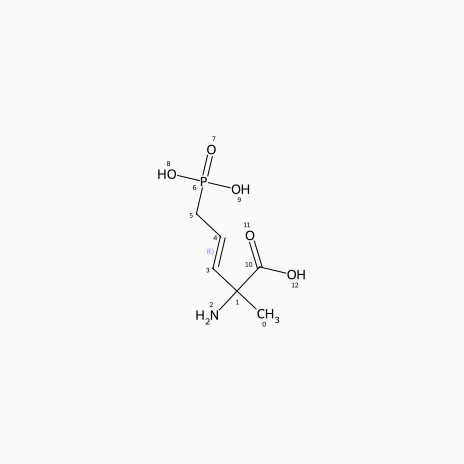 CC(N)(/C=C/CP(=O)(O)O)C(=O)O